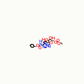 CCOC(=O)OC[C@H]1O[C@@](C#N)(c2ccc3c(NC(=O)OCc4ccccc4)ncnn23)[C@H](O)[C@@H]1O